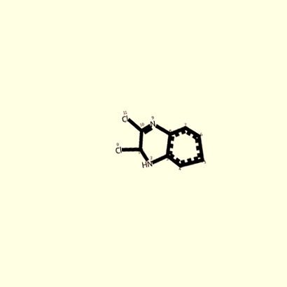 Cl[C]1Nc2ccccc2N=C1Cl